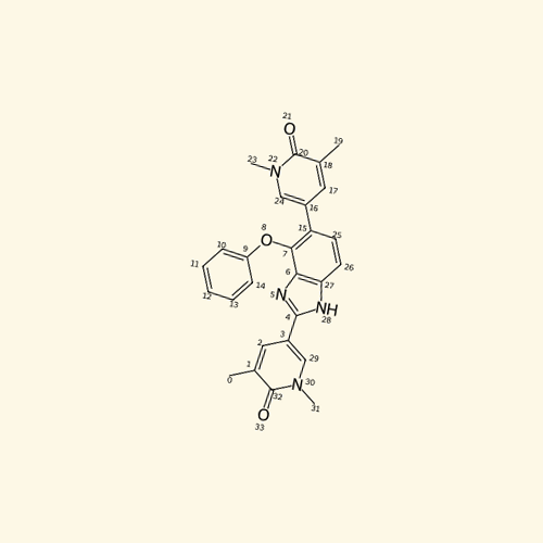 Cc1cc(-c2nc3c(Oc4ccccc4)c(-c4cc(C)c(=O)n(C)c4)ccc3[nH]2)cn(C)c1=O